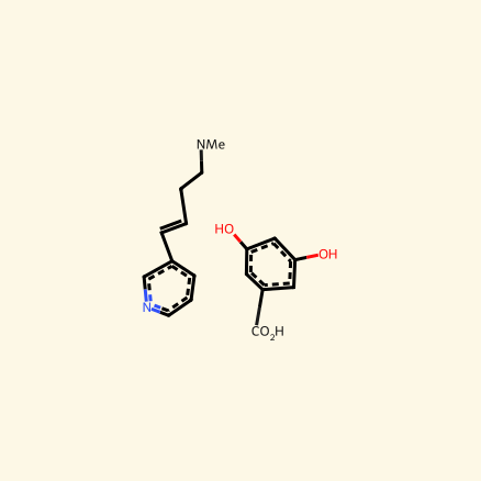 CNCCC=Cc1cccnc1.O=C(O)c1cc(O)cc(O)c1